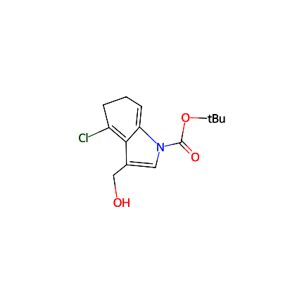 CC(C)(C)OC(=O)n1cc(CO)c2c1=CCCC=2Cl